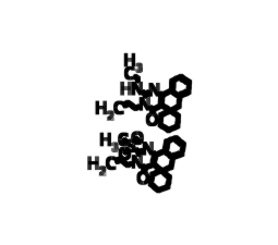 C=CCn1c(NCC)nc2c(c1=O)C1(CCCCC1)Cc1ccccc1-2.C=CCn1c(S(C)(=O)=O)nc2c(c1=O)C1(CCCCC1)Cc1ccccc1-2